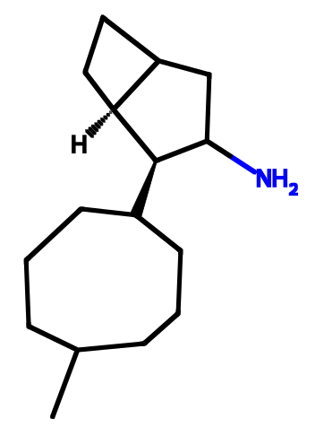 CC1CCCC([C@@H]2C(N)CC3CC[C@@H]32)CCC1